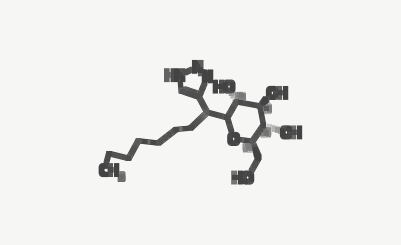 CCCCCCCC(c1c[nH]nn1)C1O[C@H](CO)[C@@H](O)[C@H](O)[C@H]1O